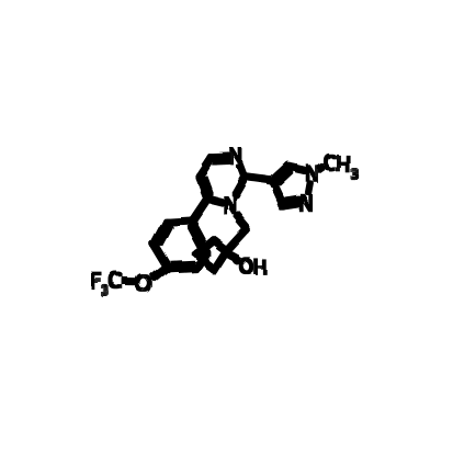 Cn1cc(C2N=CC=C(c3ccc(OC(F)(F)F)cc3)N2CC2(O)CCC2)cn1